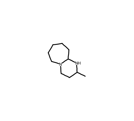 CC1CCN2CCCCCC2N1